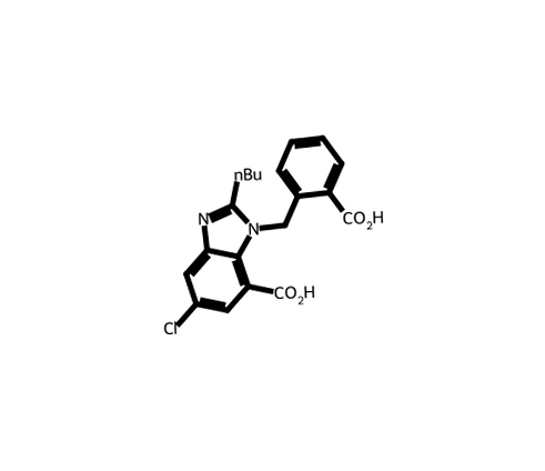 CCCCc1nc2cc(Cl)cc(C(=O)O)c2n1Cc1ccccc1C(=O)O